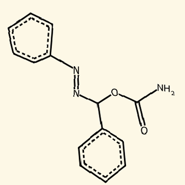 NC(=O)OC(N=Nc1ccccc1)c1ccccc1